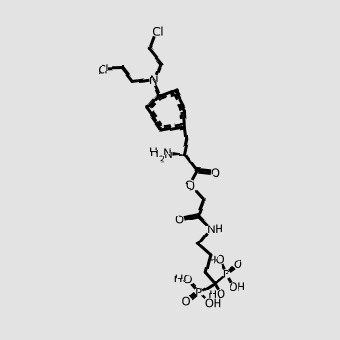 N[C@@H](Cc1ccc(N(CCCl)CCCl)cc1)C(=O)OCC(=O)NCCCC(O)(P(=O)(O)O)P(=O)(O)O